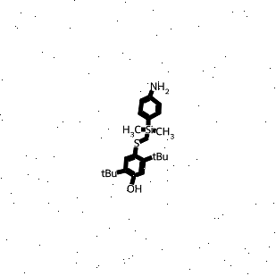 CC(C)(C)c1cc(SC[Si](C)(C)c2ccc(N)cc2)c(C(C)(C)C)cc1O